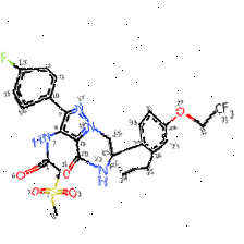 CS(=O)(=O)CC(=O)Nc1c(-c2ccc(F)cc2)nn2c1C(=O)N[C@@]1(CCc3cc(OCC(F)(F)F)ccc31)C2